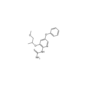 COCC(C)Oc1cc(Oc2ccccc2)cnc1NC(N)=S